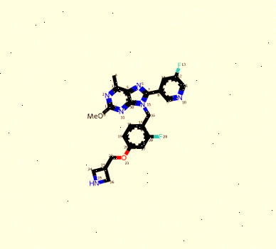 COc1nc(C)c2nc(-c3cncc(F)c3)n(Cc3ccc(OCC4CNC4)cc3F)c2n1